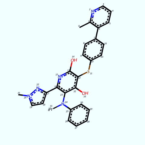 Cc1ncccc1-c1ccc(Sc2c(O)nc(-c3ccn(C)n3)c(N(c3ccccc3)C(C)C)c2O)cc1